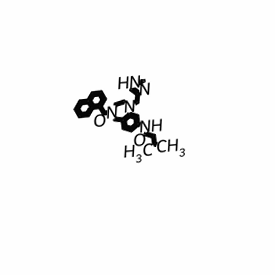 CC(C)CC(=O)Nc1ccc2c(c1)N(Cc1c[nH]cn1)CCN(C(=O)c1cccc3ccccc13)C2